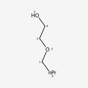 CCC[CH]OCCO